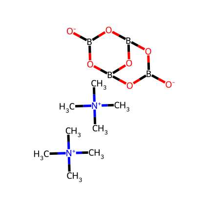 C[N+](C)(C)C.C[N+](C)(C)C.[O-]B1OB2OB([O-])OB(O1)O2